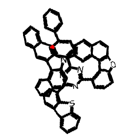 c1ccc(-c2ccc(-c3nc(-c4cccc5c4sc4ccccc45)nc(-c4cccc5oc6ccc7ccc(-n8c9cc%10ccccc%10cc9c9c%10ccccc%10ccc98)cc7c6c45)n3)cc2)cc1